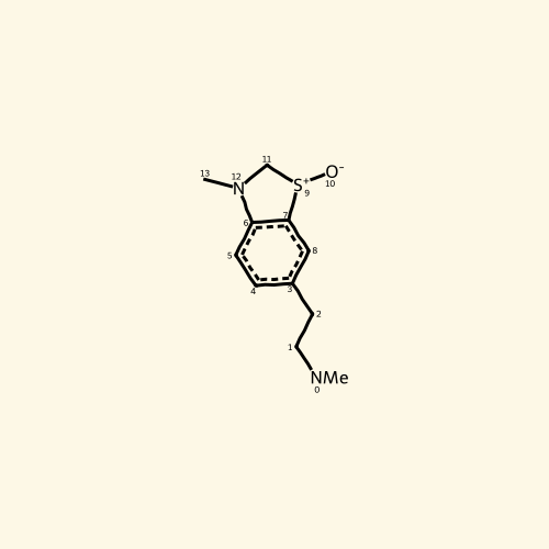 CNCCc1ccc2c(c1)[S+]([O-])CN2C